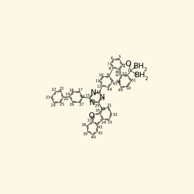 BC1(B)Oc2cccc(-c3ccc(-c4nc(-c5ccc(-c6ccccc6)cc5)nc(-c5cccc6c5oc5ccccc56)n4)cc3)c2-c2ccccc21